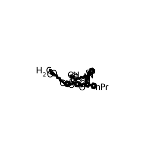 C=CC(=O)OCCCCCCOc1ccc(OC(=O)C2CCC(C(=O)Oc3ccc(C4CCC(CCC)CC4)cc3/C=N/N(CCCCCCOC(=O)C=C)c3nc4ccccc4s3)CC2)cc1